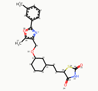 Cc1cccc(-c2nc(COC3CCCC(CCC4SC(=O)NC4=O)C3)c(C)o2)c1